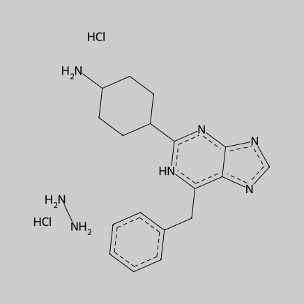 Cl.Cl.NC1CCC(c2nc3ncnc-3c(Cc3ccccc3)[nH]2)CC1.NN